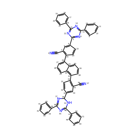 N#Cc1cc(-c2nc(-c3ccccc3)nc(-c3ccccc3)n2)ccc1-c1cccc2c(-c3ccc(C4N=C(c5ccccc5)N=C(c5ccccc5)N4)cc3C#N)cccc12